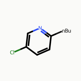 CCCCc1ccc(Cl)cn1